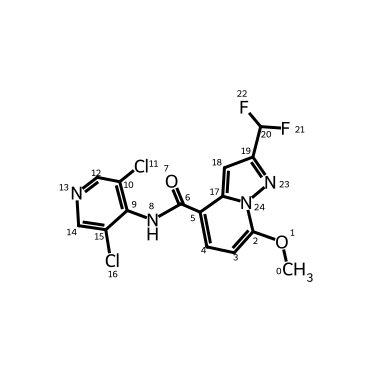 COc1ccc(C(=O)Nc2c(Cl)cncc2Cl)c2cc(C(F)F)nn12